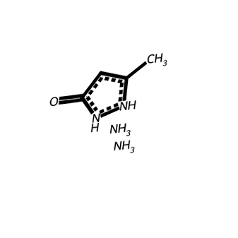 Cc1cc(=O)[nH][nH]1.N.N